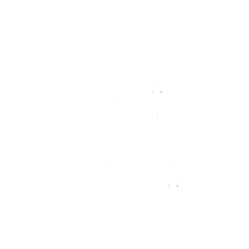 O=C1C=CC(=O)C(Cc2ccccc2)=C1Cc1ccccc1